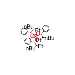 CCCCC(CC)C(OP(OC(c1ccccc1)C(CC)CCCC)OC(c1ccccc1)C(CC)CCCC)c1ccccc1